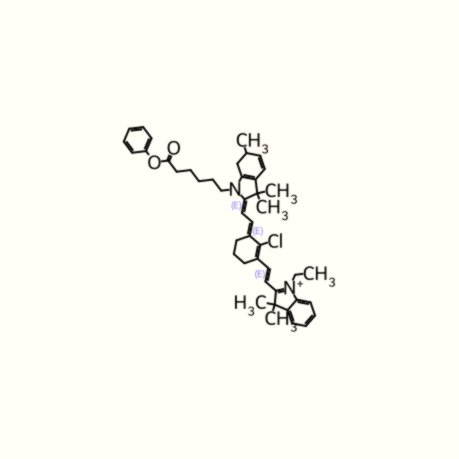 CC[N+]1=C(/C=C/C2=C(Cl)C(=C/C=C3/N(CCCCCC(=O)Oc4ccccc4)C4=C(C=CC(C)C4)C3(C)C)/CCC2)C(C)(C)c2ccccc21